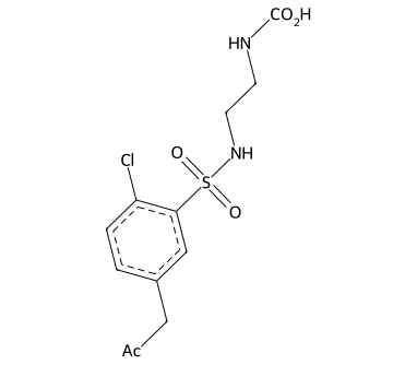 CC(=O)Cc1ccc(Cl)c(S(=O)(=O)NCCNC(=O)O)c1